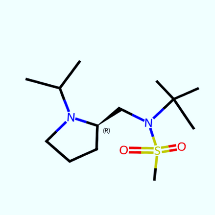 CC(C)N1CCC[C@@H]1CN(C(C)(C)C)S(C)(=O)=O